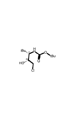 CCC(C)[C@H](NC(=O)OC(C)(C)C)[C@@H](O)CCl